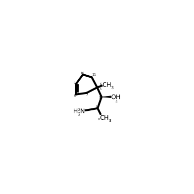 CC(N)[C@H](O)C1(C)CC=CCC1